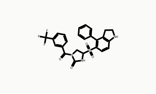 O=C1NC(S(=O)(=O)c2ccc3c(c2-c2ccccc2)CCN3)CN1C(=O)c1cccc(C(F)(F)F)c1